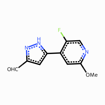 COc1cc(-c2cc(C=O)n[nH]2)c(F)cn1